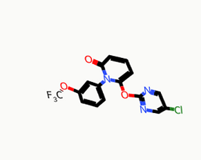 O=c1cccc(Oc2ncc(Cl)cn2)n1-c1cccc(OC(F)(F)F)c1